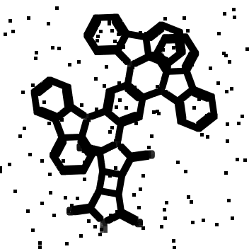 O=C1NC(=O)C2C1C1C(=O)N(c3cc(-n4c5ccccc5c5ccccc54)c(-n4c5ccccc5c5ccccc54)cc3-n3c4ccccc4c4ccccc43)C(=O)C21